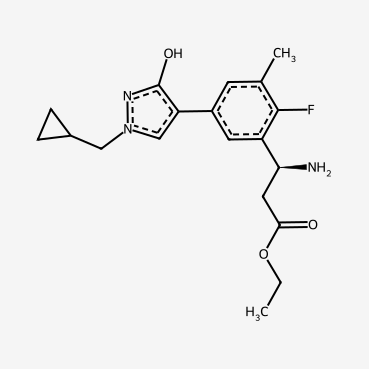 CCOC(=O)C[C@H](N)c1cc(-c2cn(CC3CC3)nc2O)cc(C)c1F